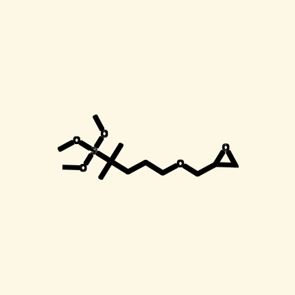 CO[Si](OC)(OC)C(C)(C)CCCOCC1CO1